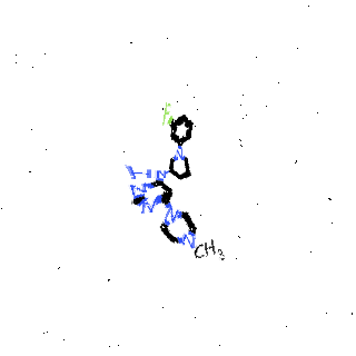 CN1CCN(c2cc(N[C@@H]3CCCN(c4cccc(F)c4)C3)ncn2)CC1